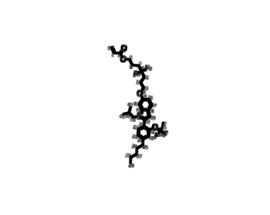 C=CC(=O)OCCCC(F)(F)CCCOc1ccc2cc(-c3ccc(CCCCC)cc3OC(F)(F)F)n(CC(C)C)c2c1